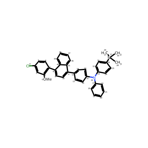 COc1cc(Cl)ccc1-c1ccc(-c2ccc(N(c3ccccc3)c3ccc([Si](C)(C)C)cc3)cc2)c2ccccc12